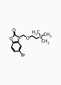 C[Si](C)(C)CCOCn1c(=O)oc2ccc(Br)cc21